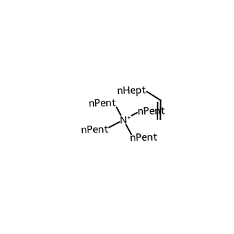 C=CCCCCCCC.CCCCC[N+](CCCCC)(CCCCC)CCCCC